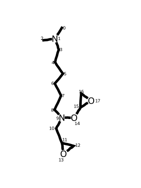 CN(C)CCCCCCN(CC1CO1)OC1CO1